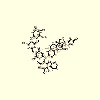 CCC1(c2ccccc2)C(=O)NC(=O)NC1=O.C[C@H]1O[C@@H](O[C@H]2[C@@H](O)C[C@H](O[C@H]3[C@@H](O)C[C@H](O[C@H]4CC[C@@]5(C)[C@H](CC[C@@H]6[C@@H]5C[C@@H](O)[C@]5(C)[C@@H](C7=CC(=O)OC7)CC[C@]65O)C4)O[C@@H]3C)O[C@@H]2C)C[C@H](O)[C@@H]1O